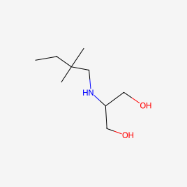 CCC(C)(C)CNC(CO)CO